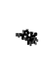 CC(C)(C)[C@H](NC=O)C(=O)N1CCCC1C(N)=O